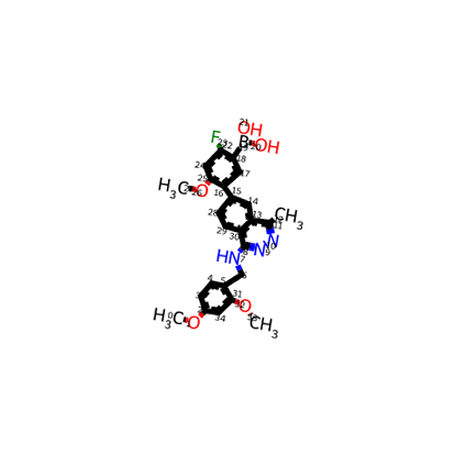 COc1ccc(CNc2nnc(C)c3cc(-c4cc(B(O)O)c(F)cc4OC)ccc23)c(OC)c1